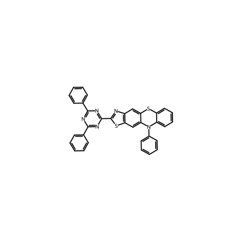 c1ccc(-c2nc(-c3ccccc3)nc(-c3nc4cc5c(cc4s3)N(c3ccccc3)c3ccccc3S5)n2)cc1